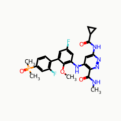 CNC(=O)c1nnc(NC(=O)C2CC2)cc1Nc1cc(F)cc(-c2ccc(P(C)(C)=O)cc2F)c1OC